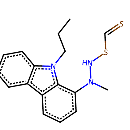 CCCn1c2ccccc2c2cccc(N(C)NSC=S)c21